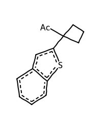 CC(=O)C1(c2cc3ccccc3s2)CCC1